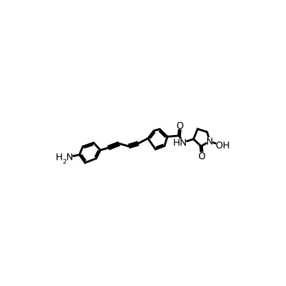 Nc1ccc(C#CC#Cc2ccc(C(=O)NC3CCN(O)C3=O)cc2)cc1